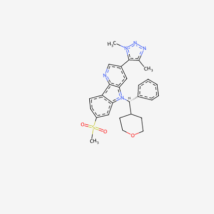 Cc1nnn(C)c1-c1cnc2c3ccc(S(C)(=O)=O)cc3n([C@H](c3ccccc3)C3CCOCC3)c2c1